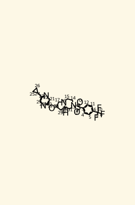 O=S(=O)(c1ccc(C(F)(F)F)cc1)N1CCN2C[C@@H](Oc3cnc(C4CC4)cn3)C[C@H]2C1